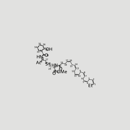 CC/C=C\C/C=C\C/C=C\C/C=C\C/C=C\C/C=C\CCC(=O)N[C@@H](CSSC[C@H](NC(=O)c1ccccc1O)C(C)=O)C(=O)OC